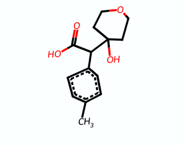 Cc1ccc(C(C(=O)O)C2(O)CCOCC2)cc1